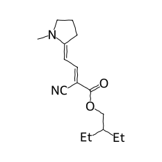 CCC(CC)COC(=O)/C(C#N)=C/C=C1\CCCN1C